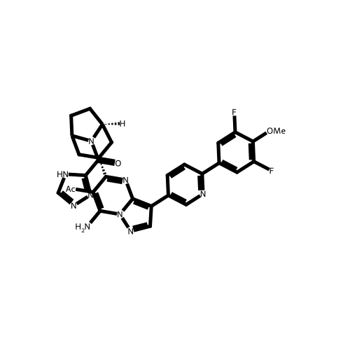 COc1c(F)cc(-c2ccc(-c3cnn4c(N)c(C(C)=O)c([C@@H]5CC6CC[C@@H](C5)N6C(=O)c5nnc[nH]5)nc34)cn2)cc1F